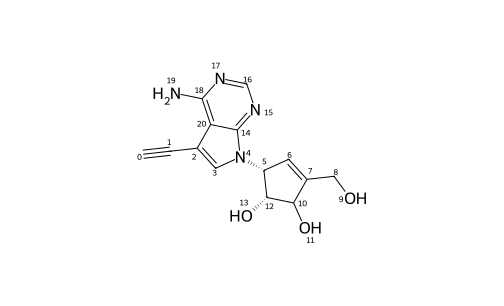 C#Cc1cn([C@@H]2C=C(CO)C(O)[C@@H]2O)c2ncnc(N)c12